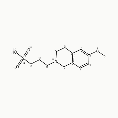 COc1ccc2c(c1)CCN(CCCS(=O)(=O)O)C2